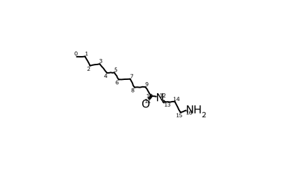 CCCCCCCCCCC(=O)N=CCCN